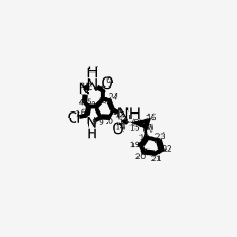 O=C1NN=Cc2c(Cl)[nH]c3cc(NC(=O)[C@@H]4C[C@H]4c4ccccc4)cc1c23